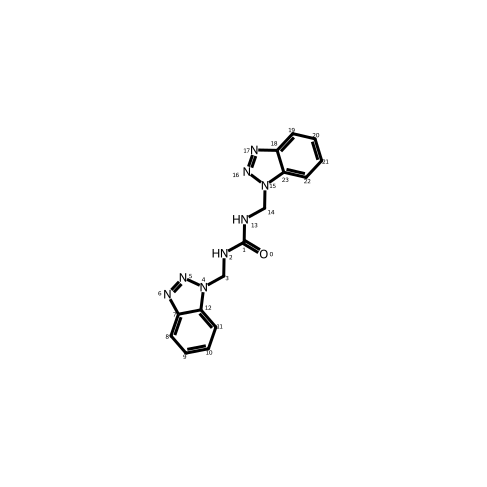 O=C(NCn1nnc2ccccc21)NCn1nnc2ccccc21